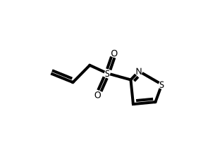 C=CCS(=O)(=O)c1ccsn1